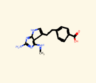 CNc1nc(N)nc2[nH]cc(CCc3ccc(C(=O)O)cc3)c12